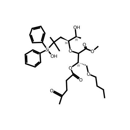 CCCCOC[C@H](OC(=O)CCC(C)=O)C(O[C@@H](CC(C)(C)[Si](O)(c1ccccc1)c1ccccc1)[C@H](C)O)C(=O)OC